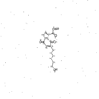 COC(=O)c1noc2c1C(=O)C(SCCCCCO)=CC2=O